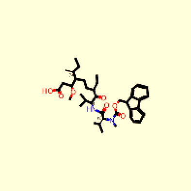 CCC(CCC(C(CC(=O)O)OC)[C@@H](C)CC)C(=O)[C@@H](NC(=O)[C@H](C(C)C)N(C)C(=O)OCC1c2ccccc2-c2ccccc21)C(C)C